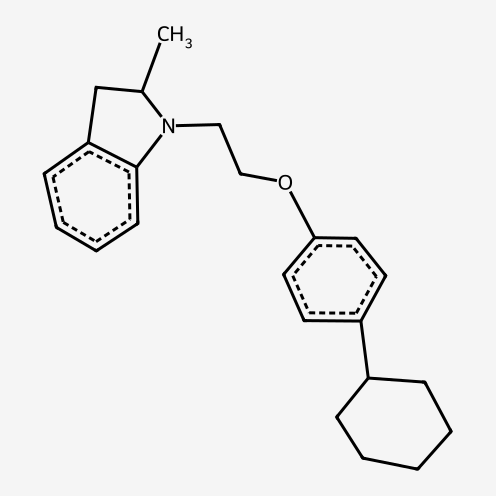 CC1Cc2ccccc2N1CCOc1ccc(C2CCCCC2)cc1